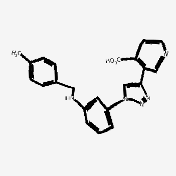 Cc1ccc(CNc2cccc(-n3cc(-c4cnccc4C(=O)O)nn3)c2)cc1